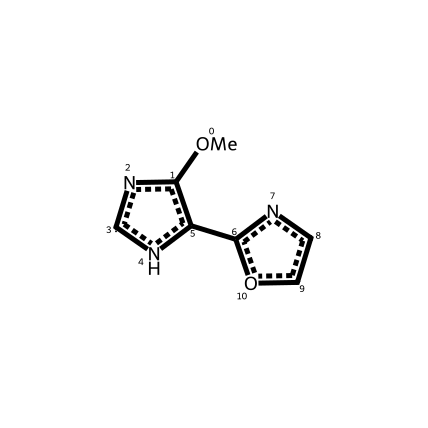 COc1n[c][nH]c1-c1ncco1